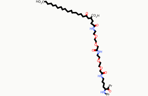 CC(C)NC(CCCCNC(=O)COCCOCCNC(=O)COCCOCCNC(=O)CCC(CC(=O)CCCCCCCCCCCCCCCCC(=O)O)C(=O)O)C(=O)C(C)C